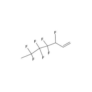 C=CC(F)C(F)(F)C(F)(F)C(C)(F)F